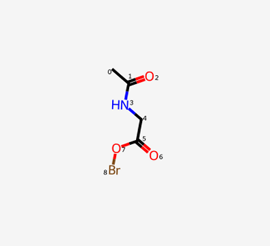 CC(=O)NCC(=O)OBr